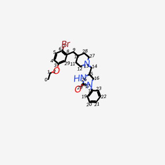 CCOc1ccc(Br)c(CC2CCN(CC3CN(c4ccccc4)C(=O)N3)CC2)c1